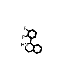 Fc1cccc(C2NCCc3ccccc32)c1F